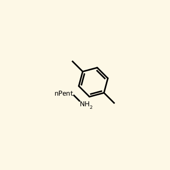 CCCCCN.Cc1ccc(C)cc1